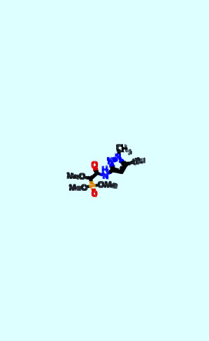 COC(C(=O)Nc1cc(C(C)(C)C)n(C)n1)P(=O)(OC)OC